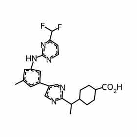 Cc1cc(Nc2nccc(C(F)F)n2)cc(-c2cnc(C(C)C3CCC(C(=O)O)CC3)nc2)c1